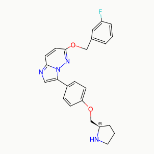 Fc1cccc(COc2ccc3ncc(-c4ccc(OC[C@H]5CCCN5)cc4)n3n2)c1